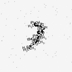 CC(C)C[C@H](NC(=O)[C@@H](OC(=O)C[C@H](C)[C@H](C)C(C)C)C(C)C)C(=O)N1CCC[C@H]1C(=O)N(C)[C@@H](CC(C)C)C(=O)O[C@H](C)[C@H](NC(=O)OC(C)(C)C)C(=O)OCOCC[Si](C)(C)C